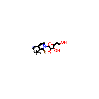 C/C=C\c1ccn(C2OC(CCO)C(O)C2O)c(=S)c1C